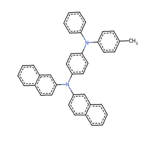 Cc1ccc(N(c2ccccc2)c2ccc(N(c3ccc4ccccc4c3)c3ccc4ccccc4c3)cc2)cc1